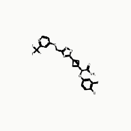 NC(=O)C(Oc1ccc(Cl)c(F)c1)C12CC(c3nc(COc4ccnc(C(F)(F)F)c4)no3)(C1)C2